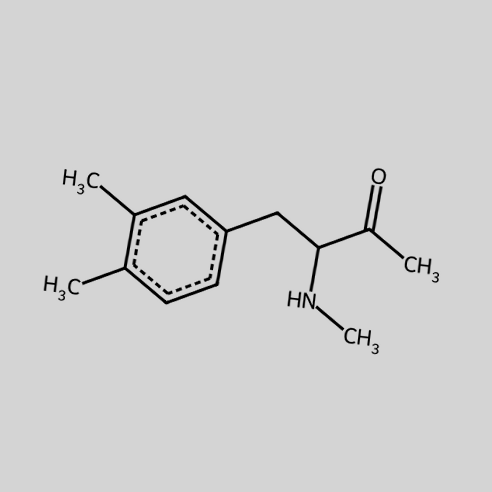 CNC(Cc1ccc(C)c(C)c1)C(C)=O